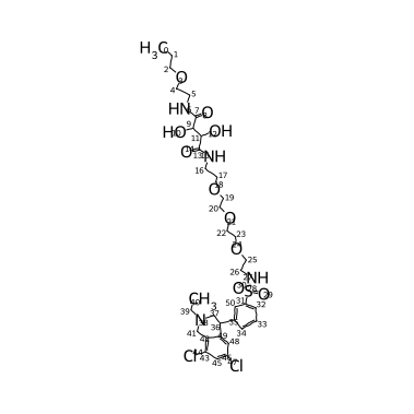 CCCOCCNC(=O)C(O)C(O)C(=O)NCCOCCOCCOCCNS(=O)(=O)c1cccc(C2CN(CC)Cc3c(Cl)cc(Cl)cc32)c1